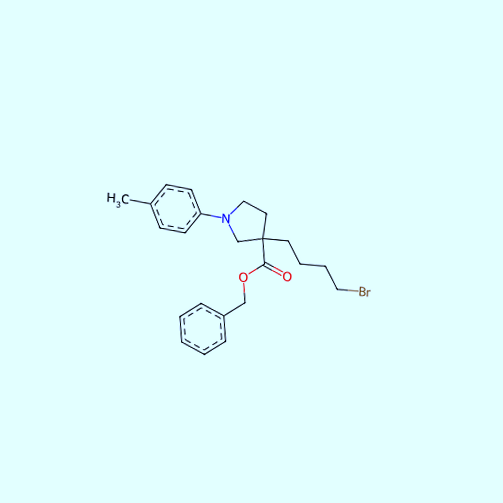 Cc1ccc(N2CCC(CCCCBr)(C(=O)OCc3ccccc3)C2)cc1